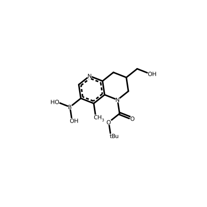 Cc1c(B(O)O)cnc2c1N(C(=O)OC(C)(C)C)CC(CO)C2